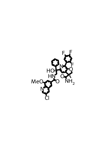 COc1cc(C(=O)NC[C@@](O)(c2ccccc2)c2cc3c(c(-c4cc(F)c(F)cc4F)n2)OC[C@]3(C)C(N)=O)cc2cc(Cl)cnc12